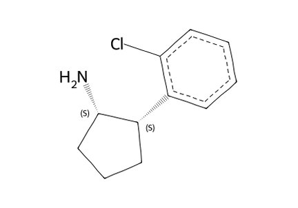 N[C@H]1CCC[C@H]1c1ccccc1Cl